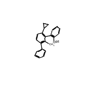 COc1[c]cccc1-c1c(C2CC2)ccc(-c2ccccc2)c1C